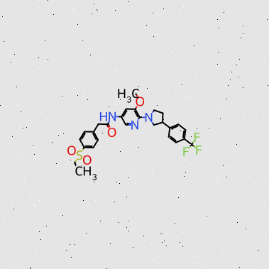 CCS(=O)(=O)c1ccc(CC(=O)Nc2cnc(N3CCC(c4ccc(C(F)(F)F)cc4)C3)c(OC)c2)cc1